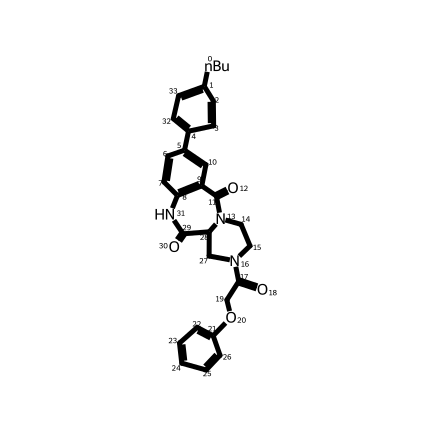 CCCCc1ccc(-c2ccc3c(c2)C(=O)N2CCN(C(=O)COc4ccccc4)CC2C(=O)N3)cc1